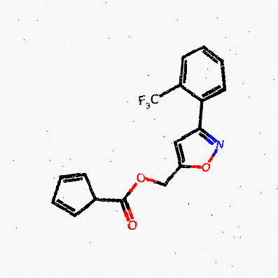 O=C(OCc1cc(-c2ccccc2C(F)(F)F)no1)C1C=CC=C1